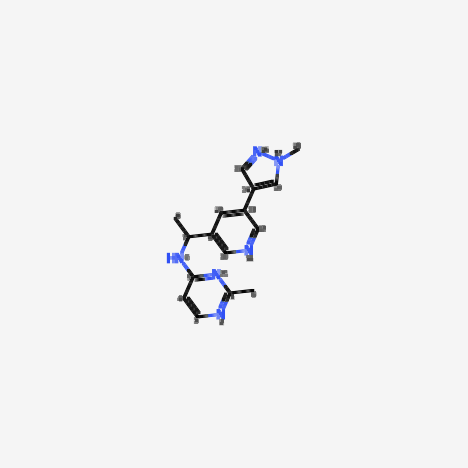 Cc1nccc(NC(C)c2cncc(-c3cnn(C)c3)c2)n1